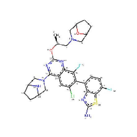 C[C@@H](CN1CC2CCC(C1)O2)Oc1nc(N2CC3CCC(C2)N3)c2cc(Cl)c(-c3ccc(F)c4sc(N)nc34)c(F)c2n1